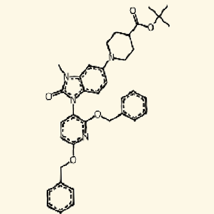 Cn1c(=O)n(-c2ccc(OCc3ccccc3)nc2OCc2ccccc2)c2ccc(N3CCC(C(=O)OC(C)(C)C)CC3)cc21